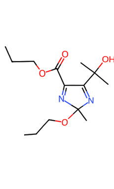 CCCOC(=O)C1=NC(C)(OCCC)N=C1C(C)(C)O